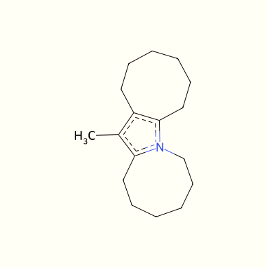 Cc1c2c(n3c1CCCCCC3)CCCCCC2